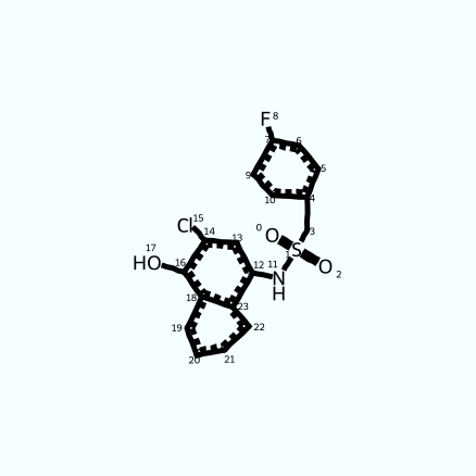 O=S(=O)(Cc1ccc(F)cc1)Nc1cc(Cl)c(O)c2ccccc12